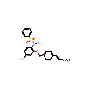 CN(c1ccc(C(F)(F)F)cc1OCc1ccc(/C=C/C(=O)O)cc1)S(=O)(=O)c1ccccc1